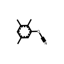 Cc1cc(C)c(C)c(OC#N)c1